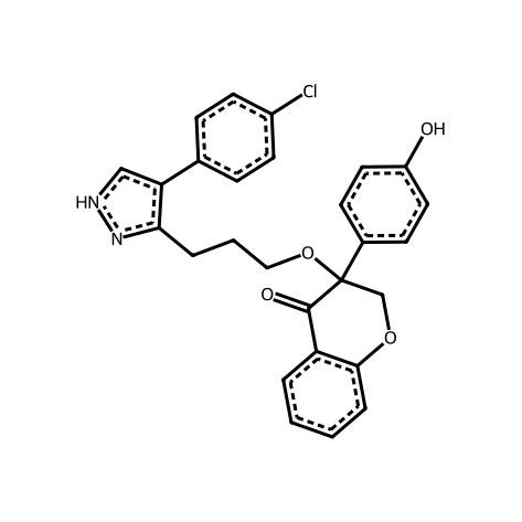 O=C1c2ccccc2OCC1(OCCCc1n[nH]cc1-c1ccc(Cl)cc1)c1ccc(O)cc1